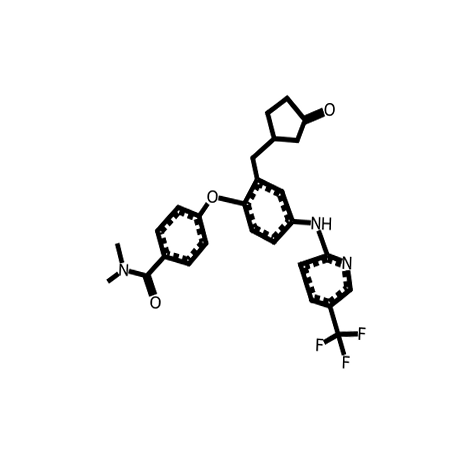 CN(C)C(=O)c1ccc(Oc2ccc(Nc3ccc(C(F)(F)F)cn3)cc2CC2CCC(=O)C2)cc1